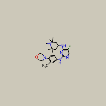 CN1C(C)(C)CC(Nc2nc(Nc3ccc(N4CCOCC4)c(C(F)(F)F)c3)ncc2F)CC1(C)C